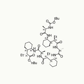 CCCCOC(=O)[C@H](CC)[C@H]1CCCC[C@H]1NC(=O)[C@@H](C)NC(=O)[C@H](CC)[C@H]1CCCC[C@H]1NC(=O)[C@@H](C)NC(=O)[C@H](CC)[C@H]1CCCC[C@H]1NC(=O)[C@@H](C)NC(=O)OC(C)(C)C